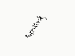 COc1ccc(/C=C/c2ccc(OCCCN(C)C)cc2)cc1